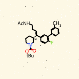 CC(=O)NCCC=C(c1ccc(F)c(-c2cccc(C)c2)c1)[C@@H]1CCCN(C(=O)OC(C)(C)C)C1